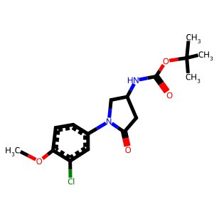 COc1ccc(N2CC(NC(=O)OC(C)(C)C)CC2=O)cc1Cl